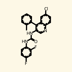 Cc1ccccc1-c1c(NC(=O)Nc2ccc(F)cc2F)cnc2ccc(Cl)cc12